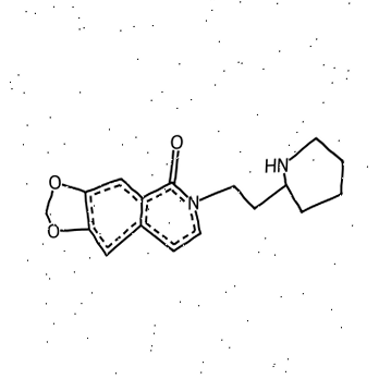 O=c1c2cc3c(cc2ccn1CCC1CCCCN1)OCO3